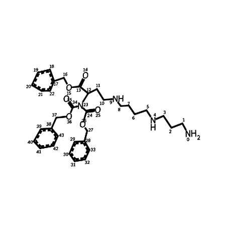 NCCCNCCCCNCCC(C(=O)OCc1ccccc1)N(C(=O)OCc1ccccc1)C(=O)OCc1ccccc1